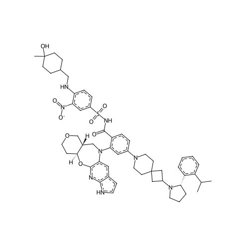 CC(C)c1ccccc1[C@@H]1CCCN1C1CC2(CCN(c3ccc(C(=O)NS(=O)(=O)c4ccc(NCC5CCC(C)(O)CC5)c([N+](=O)[O-])c4)c(N4C[C@H]5COCC[C@@H]5Oc5nc6[nH]ccc6cc54)c3)CC2)C1